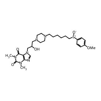 COc1ccc([S+]([O-])CCCCCCN2CCN(CC(O)Cn3cnc4c3c(=O)n(C)c(=O)n4C)CC2)cc1